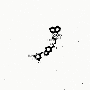 Nc1nc(Cn2ncc3cc(C(=O)NC[C@H](NS(=O)(=O)c4cccc5ccccc45)C(=O)O)ccc32)cc(=O)[nH]1